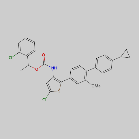 COc1cc(-c2sc(Cl)cc2NC(=O)OC(C)c2ccccc2Cl)ccc1-c1ccc(C2CC2)cc1